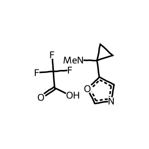 CNC1(c2cnco2)CC1.O=C(O)C(F)(F)F